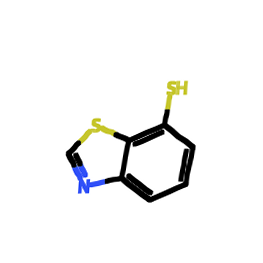 Sc1cccc2ncsc12